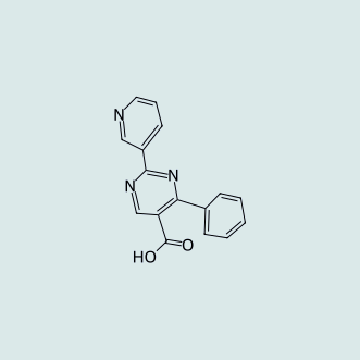 O=C(O)c1cnc(-c2cccnc2)nc1-c1ccccc1